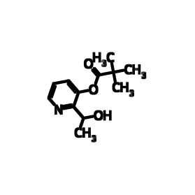 CC(O)c1ncccc1OC(=O)C(C)(C)C